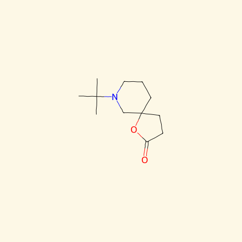 CC(C)(C)N1CCCC2(CCC(=O)O2)C1